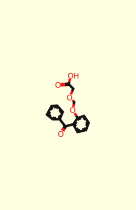 O=C(O)COCOc1ccccc1C(=O)c1ccccc1